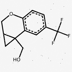 OCC12CC1COc1ccc(C(F)(F)F)cc12